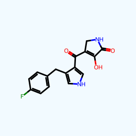 O=C1NCC(C(=O)c2c[nH]cc2Cc2ccc(F)cc2)=C1O